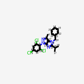 Cc1nn(-c2c(Cl)cc(Cl)cc2Cl)c2nc(C(C)C)n(Cc3ccccc3)c12